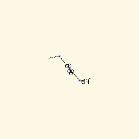 CCCCCCCC/C=C\CCCCCCCCOC(=O)/C=C/C(=O)OC(=O)CCCCCCC/C=C\C[C@H](O)CCCCCC